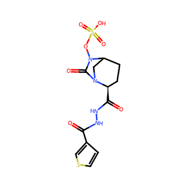 O=C(NNC(=O)[C@@H]1CCC2CN1C(=O)N2OS(=O)(=O)O)c1ccsc1